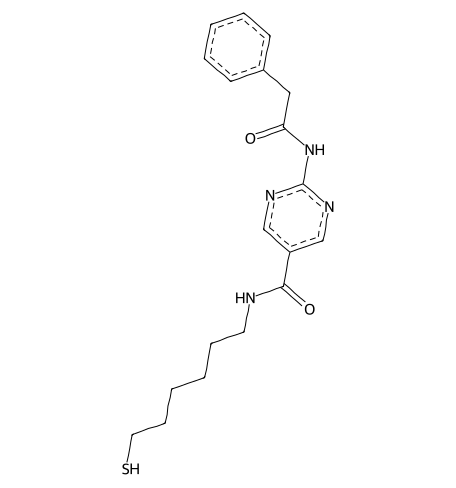 O=C(Cc1ccccc1)Nc1ncc(C(=O)NCCCCCCS)cn1